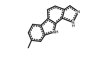 Cc1ccc2c(c1)[nH]c1c2ccc2cn[nH]c21